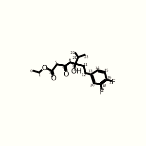 CCOC(=O)CC(=O)CC(O)(CCc1ccc(F)c(F)c1)C(C)C